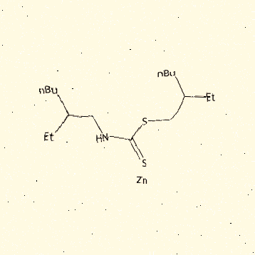 CCCCC(CC)CNC(=S)SCC(CC)CCCC.[Zn]